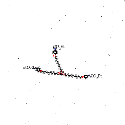 CCOC(=O)/C=C/c1ccc(OCCCCCCCCCCCCOCC(COCCCCCCCCCCCCOc2ccc(/C=C/C(=O)OCC)cc2)OCCCCCCCCCCCCOc2ccc(/C=C/C(=O)OCC)cc2)cc1